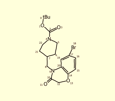 CC(C)(C)OC(=O)N1CCC(CN2C(=O)COc3ccc(Br)cc32)CC1